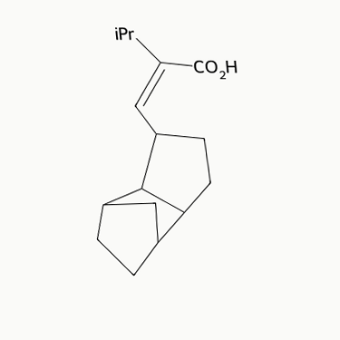 CC(C)C(=CC1CCC2C3CCC(C3)C12)C(=O)O